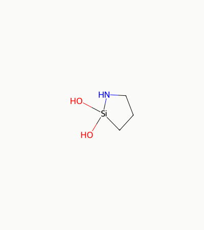 O[Si]1(O)CCCN1